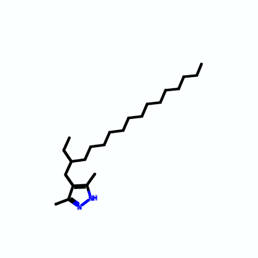 CCCCCCCCCCCCCCC(CC)Cc1c(C)n[nH]c1C